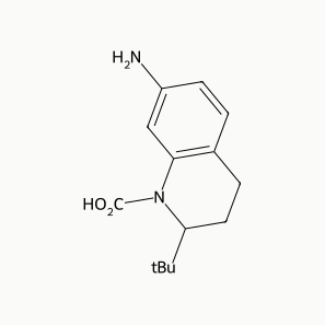 CC(C)(C)C1CCc2ccc(N)cc2N1C(=O)O